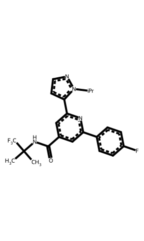 CC(C)n1nccc1-c1cc(C(=O)NC(C)(C)C(F)(F)F)cc(-c2ccc(F)cc2)n1